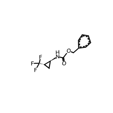 O=C(N[C@H]1C[C@@H]1C(F)(F)F)OCc1ccccc1